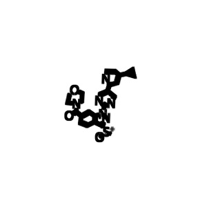 C[S+]([O-])c1nn(-c2ncc(-c3cc(C4CC4)ccn3)cn2)c2cc(C(=O)N3CCOCC3)ccc12